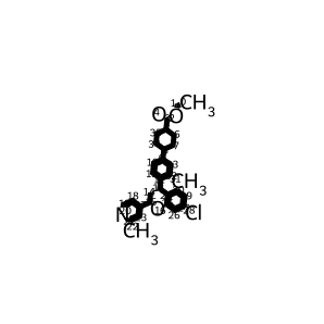 CCOC(=O)C1CCC(c2ccc([C@@H](CC(=O)c3ccnc(C)c3)c3ccc(Cl)cc3C)cc2)CC1